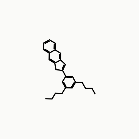 CCCCc1cc(CCCC)cc(C2=Cc3cc4ccccc4cc3C2)c1